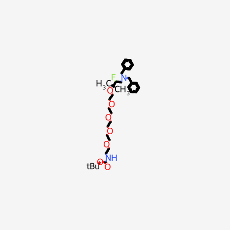 CC(C)(C)OC(=O)NCCOCCOCCOCCOCCOC(C)(C)C(F)CN(Cc1ccccc1)Cc1ccccc1